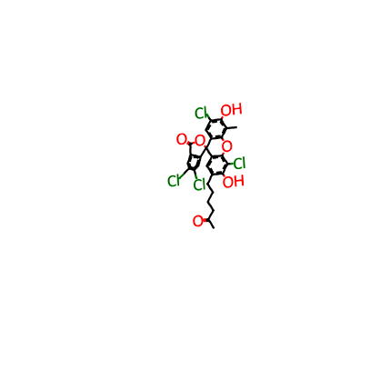 CC(=O)CCCCc1cc2c(c(Cl)c1O)Oc1c(cc(Cl)c(O)c1C)C21OC(=O)c2cc(Cl)c(Cl)cc21